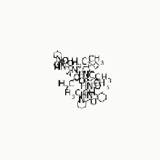 C=C[C@@H]1C[C@]1(NC(=O)[C@@H]1C[C@@]2(CN1C(=O)[C@@H](NC(=O)[C@@H](NC(=O)[C@H]1CCCCN1C(C)C)C1CCCCC1)C(C)(C)C)C(C)(C)C21CCC1)C(=O)NS(=O)(=O)N1CCCC1